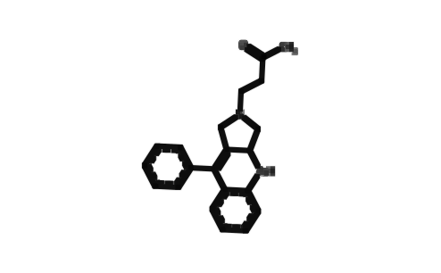 CC(=O)CCN1CC2=C(c3ccccc3)c3ccccc3[AsH]C2C1